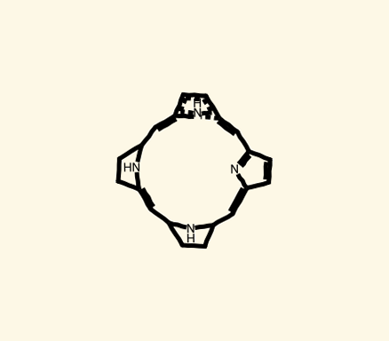 C1=CC2=NC1=CC1CCC(C=C3CCC(C=c4ccc([nH]4)=C2)N3)N1